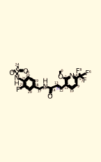 COc1nc(C(F)(F)F)ccc1/C=C/C(=O)NCc1ccc(NS(C)(=O)=O)c(F)c1